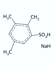 Cc1cc(C)c(C)c(S(=O)(=O)O)c1.[NaH]